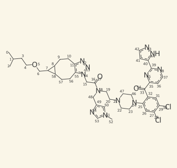 CC(C)CCOCC1C2CCc3nnn(CC(=O)N(CCN4CCN(c5cc(Cl)c(Cl)cc5C(=O)c5ccnc(-c6ccn[nH]6)n5)CC4)Cc4cn(C)cn4)c3CCC21